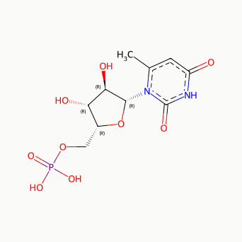 Cc1cc(=O)[nH]c(=O)n1[C@@H]1O[C@H](COP(=O)(O)O)[C@H](O)[C@H]1O